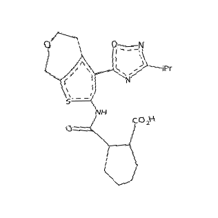 CC(C)c1noc(-c2c(NC(=O)C3CCCCC3C(=O)O)sc3c2CCOC3)n1